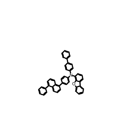 c1ccc(-c2ccc(N(c3ccc(-c4cccc5c(-c6ccccc6)cccc45)cc3)c3cccc4c3oc3ccccc34)cc2)cc1